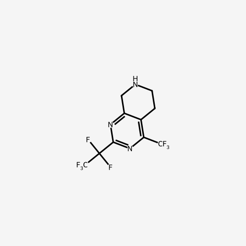 FC(F)(F)c1nc(C(F)(F)C(F)(F)F)nc2c1CCNC2